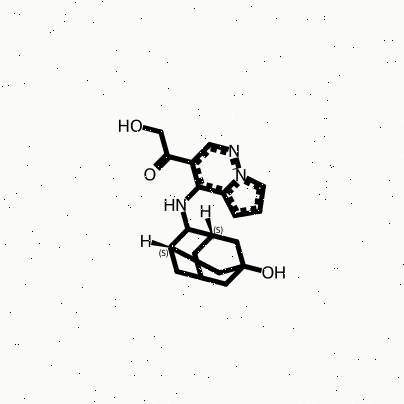 O=C(CO)c1cnn2cccc2c1NC1[C@H]2CC3C[C@H]1CC(O)(C3)C2